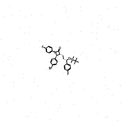 CC(C)(C)[Si](C)(C)O[C@@H](CC[C@H]1C(=O)N(c2ccc(F)cc2)[C@@H]1c1ccc(Br)cc1)c1ccc(F)cc1